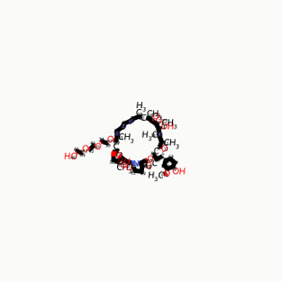 CO[C@@H]1C[C@H](C[C@@H](C)[C@@H]2CC(=O)[C@H](C)/C=C(\C)[C@H](O)[C@@H](OC)C(=O)[C@H](C)C[C@H](C)/C=C/C=C/C=C(\C)[C@H](OCCOCCOCCO)C[C@@H]3CC[C@@H](C)[C@@](O)(O3)C(=O)C(=O)N3CCCC[C@H]3C(=O)O2)CC[C@H]1O